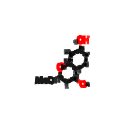 COc1cc(=O)c2ccc(O)cc2o1